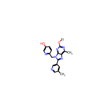 CCOc1nc(C)c2nc(-c3cncc(C)c3)n(Cc3ccc(O)cn3)c2n1